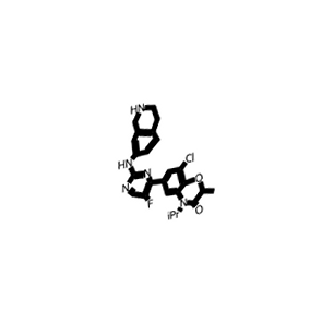 CC1Oc2c(Cl)cc(-c3nc(Nc4ccc5c(c4)CNCC5)ncc3F)cc2N(C(C)C)C1=O